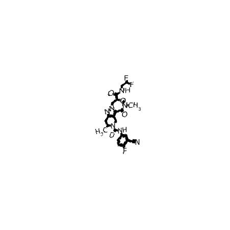 CC1Cc2nn3c(c2CN1C(=O)Nc1ccc(F)c(C#N)c1)C(=O)N(C)OC(C(=O)NCC(F)F)C3